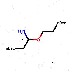 CCCCCCCCCCCCOC(N)CCCCCCCCCCC